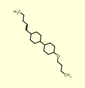 CCCC=CC1CCC(C2CCC(OCCCC)CC2)CC1